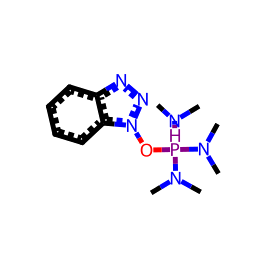 CN(C)[PH](On1nnc2ccccc21)(N(C)C)N(C)C